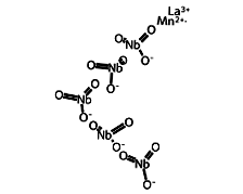 [La+3].[Mn+2].[O]=[Nb](=[O])[O-].[O]=[Nb](=[O])[O-].[O]=[Nb](=[O])[O-].[O]=[Nb](=[O])[O-].[O]=[Nb](=[O])[O-]